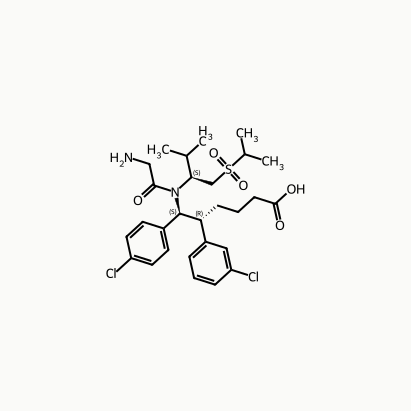 CC(C)[C@@H](CS(=O)(=O)C(C)C)N(C(=O)CN)[C@H](c1ccc(Cl)cc1)[C@H](CCCC(=O)O)c1cccc(Cl)c1